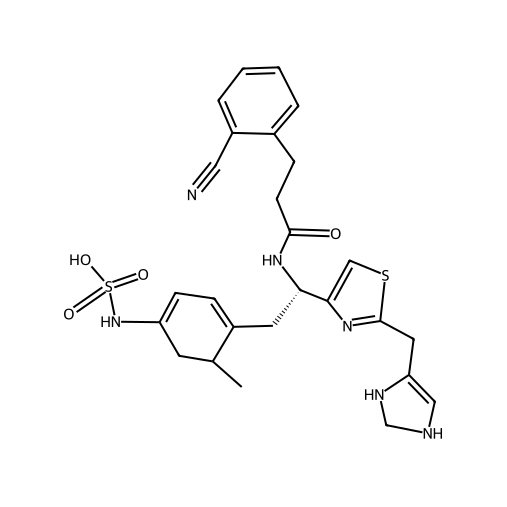 CC1CC(NS(=O)(=O)O)=CC=C1C[C@H](NC(=O)CCc1ccccc1C#N)c1csc(CC2=CNCN2)n1